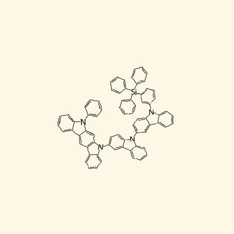 c1ccc(-n2c3ccccc3c3cc4c5ccccc5n(-c5ccc6c(c5)c5ccccc5n6-c5ccc6c(c5)c5ccccc5n6-c5cccc([Si](c6ccccc6)(c6ccccc6)c6ccccc6)c5)c4cc32)cc1